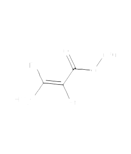 CCCCOC(=O)/C(CC)=C(\CC)C(=O)O